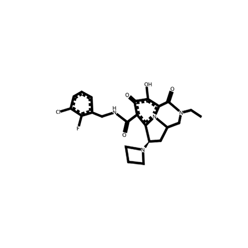 CCN1CC2C[C@@H](N3CCC3)c3c(C(=O)NCc4cccc(Cl)c4F)c(=O)c(O)c(n32)C1=O